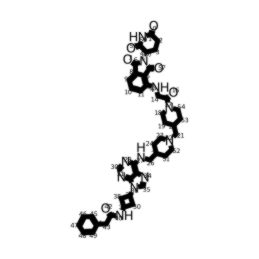 O=C1CC[C@H](N2C(=O)c3cccc(NCC(=O)N4CCC(CN5CCC(CNc6ncnc7c6ncn7C6CC(NC(=O)Cc7ccccc7)C6)CC5)CC4)c3C2=O)C(=O)N1